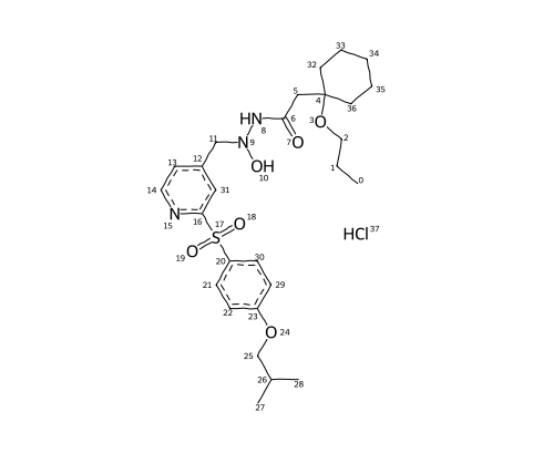 CCCOC1(CC(=O)NN(O)Cc2ccnc(S(=O)(=O)c3ccc(OCC(C)C)cc3)c2)CCCCC1.Cl